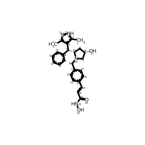 Cc1n[nH]c(C)c1C(c1ccccc1)[C@@H]1C[C@H](O)CN1Cc1ccc(/C=C/C(=O)NO)cc1